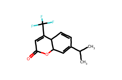 CC(C)C1=CC2OC(=O)C=C(C(F)(F)F)C2C=C1